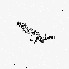 COCC(O)CC1C=CC(c2ccc(N3CCC(Cc4nc(C)c(O)c(C(=O)NCCOO)n4)CC3)cc2)=CC1